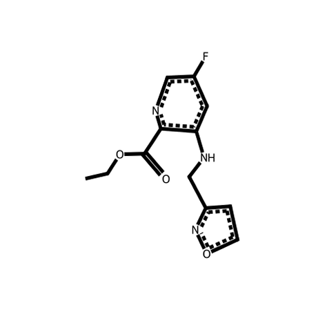 CCOC(=O)c1ncc(F)cc1NCc1ccon1